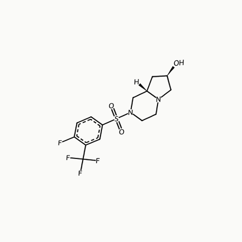 O=S(=O)(c1ccc(F)c(C(F)(F)F)c1)N1CCN2C[C@H](O)C[C@H]2C1